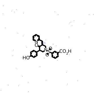 O=C(O)c1cccc(S(=O)(=O)N2C/C(=C/c3ccccn3)C(=O)C(c3ccc(O)cc3)C2)c1